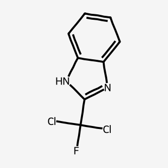 FC(Cl)(Cl)c1nc2ccccc2[nH]1